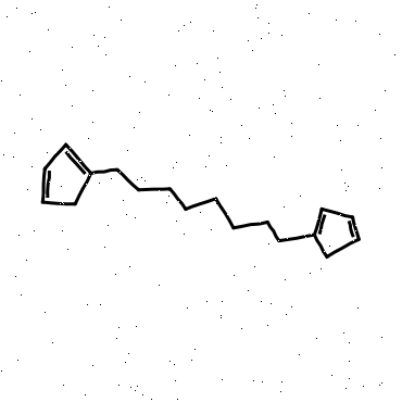 C1=CCC(CCCCCCCCC2=CC=CC2)=C1